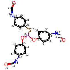 O=C=Nc1ccc(OP(Oc2ccc(N=C=O)cc2)Sc2ccc(N=C=O)cc2)cc1